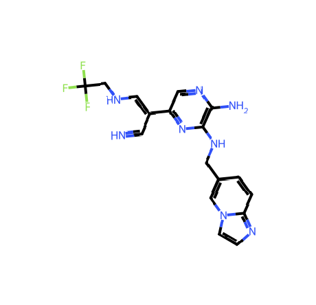 N=C/C(=C\NCC(F)(F)F)c1cnc(N)c(NCc2ccc3nccn3c2)n1